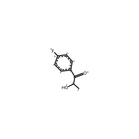 CC(O)C(=O)c1ccc(F)cc1